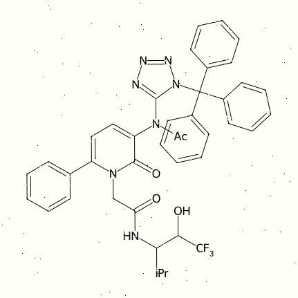 CC(=O)N(c1ccc(-c2ccccc2)n(CC(=O)NC(C(C)C)C(O)C(F)(F)F)c1=O)c1nnnn1C(c1ccccc1)(c1ccccc1)c1ccccc1